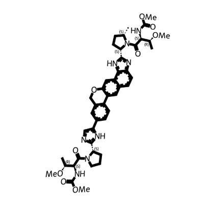 COC(=O)N[C@H](C(=O)N1CCC[C@H]1c1ncc(-c2ccc3c(c2)COc2cc4c(ccc5nc([C@@H]6CC[C@H](C)N6C(=O)[C@@H](NC(=O)OC)[C@@H](C)OC)[nH]c54)cc2-3)[nH]1)[C@@H](C)OC